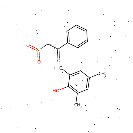 Cc1cc(C)c(O)c(C)c1.O=C(C[SH](=O)=O)c1ccccc1